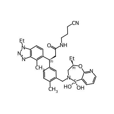 CC[C@@H]1CN(Cc2cc([C@H](CC(=O)NCCCC#N)c3ccc4c(nnn4CC)c3C)ccc2C)S(O)(O)c2cccnc2O1